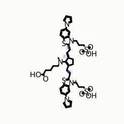 CN(CCCCC(=O)O)C1=C(/C=C/c2sc3ccc(-n4cccc4)cc3[n+]2CCCS(=O)(=O)O)CC/C1=C\C=C1/Sc2ccc(-n3cccc3)cc2N1CCCS(=O)(=O)O